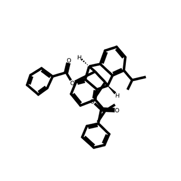 CC(C)c1cccc2c1[C@H]1c3c(C(C)C)cccc3[C@H]2C(OC(=O)c2ccccc2)C1OC(=O)c1ccccc1